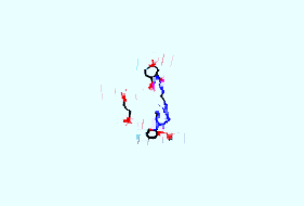 CC(C)Oc1ccc(F)cc1N1CCN(CCCN2C(=O)C3CC(O)C(F)CC3C2=O)CC1.O=C(O)CCC(=O)O